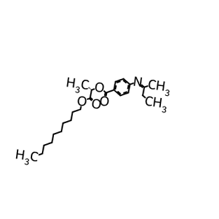 CCCCCCCCCCOC(=O)[C@H](C)OC(=O)c1ccc(/N=C(/C)CC)cc1